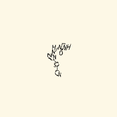 O=C1NCCN1CCNc1nccc(-c2ccc(-c3cccnc3)s2)n1